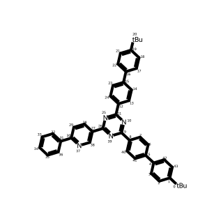 CC(C)(C)c1ccc(-c2ccc(-c3nc(-c4ccc(-c5ccc(C(C)(C)C)cc5)cc4)nc(-c4ccc(-c5ccccc5)nc4)n3)cc2)cc1